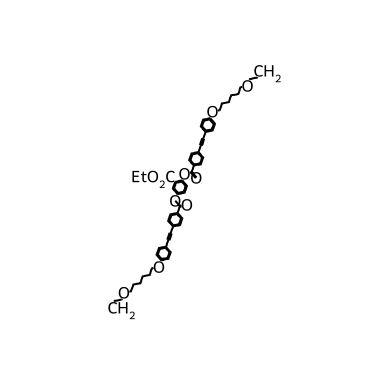 C=CCOCCCCCCOc1ccc(C#Cc2ccc(C(=O)Oc3ccc(OC(=O)c4ccc(C#Cc5ccc(OCCCCCCOCC=C)cc5)cc4)c(C(=O)OCC)c3)cc2)cc1